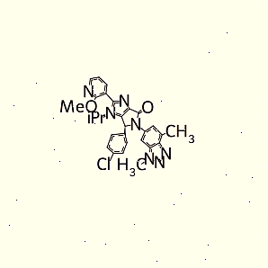 COc1ncccc1-c1nc2c(n1C(C)C)[C@H](c1ccc(Cl)cc1)N(c1cc(C)c3nnn(C)c3c1)C2=O